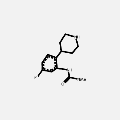 CNC(=O)Nc1cc(C(C)C)ccc1C1CCNCC1